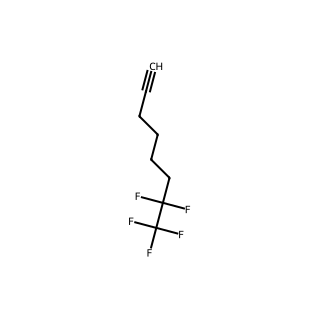 C#CCCCCC(F)(F)C(F)(F)F